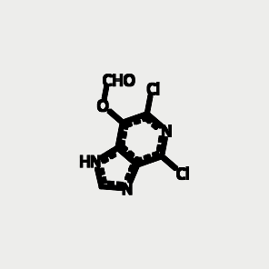 O=COc1c(Cl)nc(Cl)c2nc[nH]c12